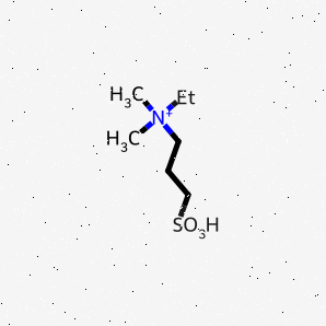 [CH2]C[N+](C)(C)CCCS(=O)(=O)O